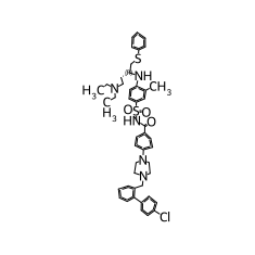 CCN(CC)CC[C@H](CSc1ccccc1)Nc1ccc(S(=O)(=O)NC(=O)c2ccc(N3CCN(Cc4ccccc4-c4ccc(Cl)cc4)CC3)cc2)cc1C